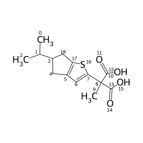 CC(C)C1Cc2cc(C(C)(C(=O)O)C(=O)O)sc2C1